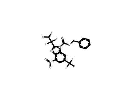 O=C(OCc1ccccc1)n1c(C(F)(F)C(F)F)nc2c([N+](=O)[O-])cc(C(F)(F)F)cc21